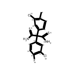 Cc1ccc(C(C(N)=S)(C(N)=S)c2ccc(F)c(Cl)c2)cc1Cl